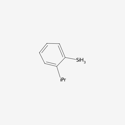 CC(C)c1ccccc1[SiH3]